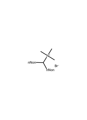 CCCCCCCCCC(CCCCCCCCC)[N+](C)(C)C.[Br-]